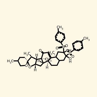 Cc1ccc(S(=O)(=O)C2(O)CC3CC[C@@H]4C(=CC(=O)[C@]5(C)[C@@H]6[C@H](C[C@@H]45)O[C@]4(CCC(C)CO4)[C@H]6C)[C@@]3(C)CC2(O)S(=O)(=O)c2ccc(C)cc2)cc1